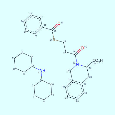 C1CCC(NC2CCCCC2)CC1.O=C(SCCC(=O)N1Cc2ccccc2CC1C(=O)O)c1ccccc1